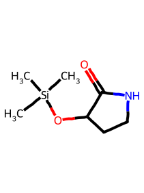 C[Si](C)(C)OC1CCNC1=O